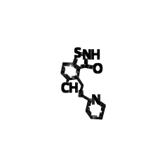 Cc1ccc2s[nH]c(=O)c2c1CCc1ccccn1